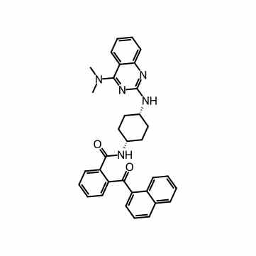 CN(C)c1nc(N[C@H]2CC[C@@H](NC(=O)c3ccccc3C(=O)c3cccc4ccccc34)CC2)nc2ccccc12